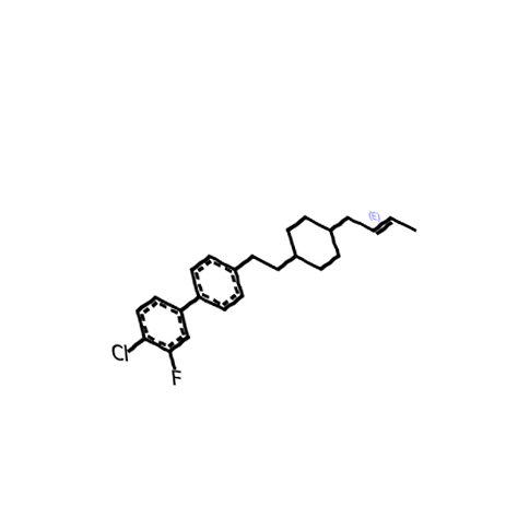 C/C=C/CC1CCC(CCc2ccc(-c3ccc(Cl)c(F)c3)cc2)CC1